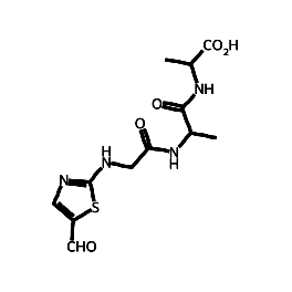 CC(NC(=O)C(C)NC(=O)CNc1ncc(C=O)s1)C(=O)O